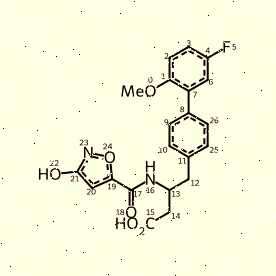 COc1ccc(F)cc1-c1ccc(CC(CC(=O)O)NC(=O)c2cc(O)no2)cc1